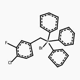 Fc1cc(CP(Br)(c2ccccc2)(c2ccccc2)c2ccccc2)ccc1Cl